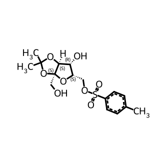 Cc1ccc(S(=O)(=O)OC[C@@H]2O[C@@]3(CO)OC(C)(C)O[C@H]3[C@@H]2O)cc1